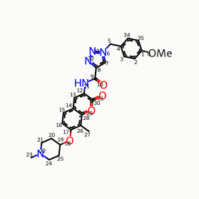 COc1ccc(Cn2cc(C(=O)Nc3cc4ccc(OC5CCN(C)CC5)c(C)c4oc3=O)nn2)cc1